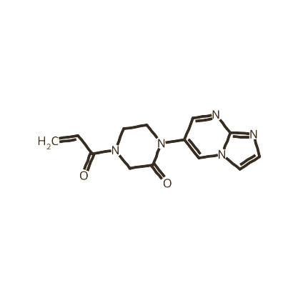 C=CC(=O)N1CCN(c2cnc3nccn3c2)C(=O)C1